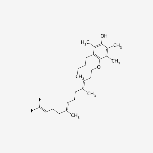 CCCCc1c(C)c(O)c(C)c(C)c1OCC/C=C(\C)CC/C=C(\C)CCC=C(F)F